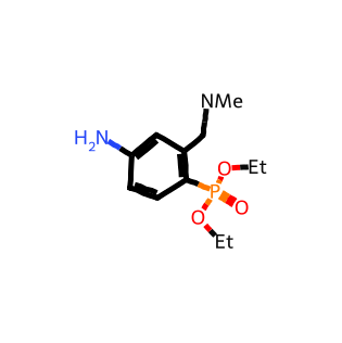 CCOP(=O)(OCC)c1ccc(N)cc1CNC